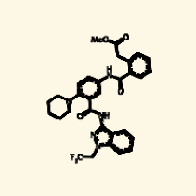 COC(=O)Cc1ccccc1C(=O)Nc1ccc(N2CCCCC2)c(C(=O)Nc2nn(CC(F)(F)F)c3ccccc23)c1